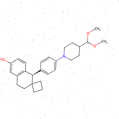 COC(OC)C1CCN(c2ccc([C@@H]3c4ccc(O)cc4CCC34CCC4)cc2)CC1